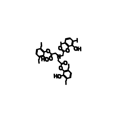 O=C(CN(CC(=O)Oc1c(I)ccc(I)c1O)CC(=O)Oc1c(I)ccc(I)c1O)Oc1c(I)ccc(I)c1O